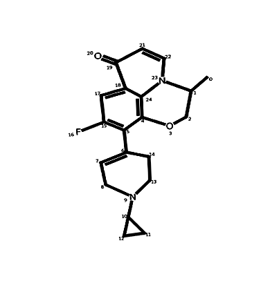 CC1COc2c(C3=CCN(C4CC4)CC3)c(F)cc3c(=O)ccn1c23